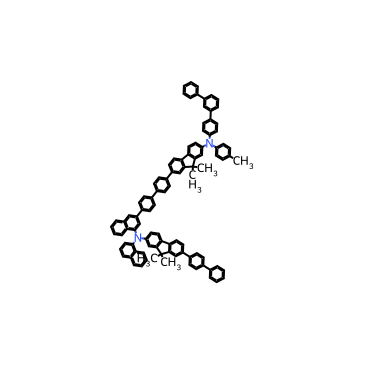 Cc1ccc(N(c2ccc(-c3cccc(-c4ccccc4)c3)cc2)c2ccc3c(c2)C(C)(C)c2cc(-c4ccc(-c5ccc(-c6cc(N(c7ccc8c(c7)C(C)(C)c7cc(-c9ccc(-c%10ccccc%10)cc9)ccc7-8)c7cccc8ccccc78)c7ccccc7c6)cc5)cc4)ccc2-3)cc1